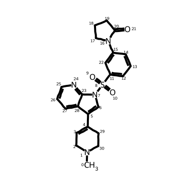 CN1CC=C(c2cn(S(=O)(=O)c3cccc(N4CCCC4=O)c3)c3ncccc23)CC1